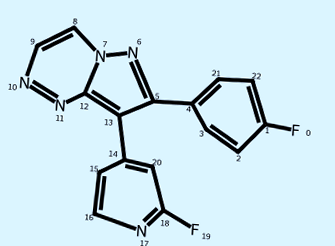 Fc1ccc(-c2nn3ccnnc3c2-c2ccnc(F)c2)cc1